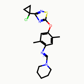 Cc1cc(Oc2nc(C3(Cl)CC3)ns2)c(C)cc1/N=C/N1CCCCC1